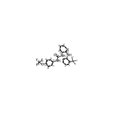 CC(C)(C)c1ccccc1Nc1ncccc1NC(=O)Nc1ccc(OC(F)(F)F)cc1